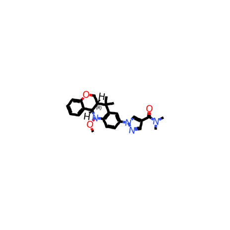 CON1c2ccc(-n3cc(C(=O)N(C)C)cn3)cc2C(C)(C)[C@H]2COc3ccccc3[C@H]21